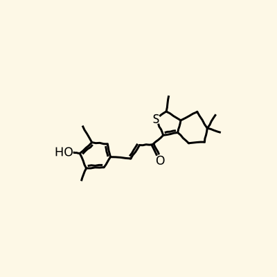 Cc1cc(/C=C/C(=O)C2=C3CCC(C)(C)CC3C(C)S2)cc(C)c1O